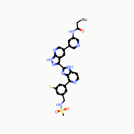 CC(C)(C)CC(=O)Nc1cncc(-c2cnc3[nH]nc(-c4nc5c(-c6cc(F)cc(CNS(C)(=O)=O)c6)nccc5[nH]4)c3c2)c1